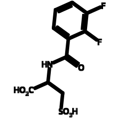 O=C(NC(CS(=O)(=O)O)C(=O)O)c1cccc(F)c1F